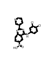 O=[N+](O)c1ccc2nc(-c3cccnc3)nc(Nc3ccc(Cl)c(Cl)c3)c2c1